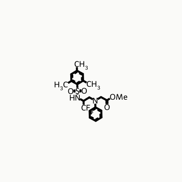 COC(=O)CN(CC(NS(=O)(=O)c1c(C)cc(C)cc1C)C(F)(F)F)c1ccccc1